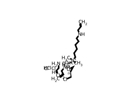 C=CCN.C=CCNCCCCCCCCCC.C=CCNCCCCCC[N+](C)(C)C.Cl.Cl.ClC[C@@H]1CO1.[Cl-]